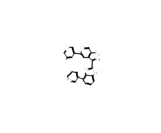 Oc1cncc(-c2cc3c(-c4nc5c(-c6cccnc6)cccc5[nH]4)n[nH]c3cn2)c1